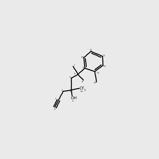 C#CCC(O)(CC(C)(C)c1ccccc1C)C(F)(F)F